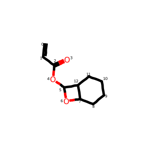 C=CC(=O)OC1OC2CCCCC21